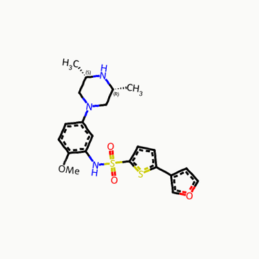 COc1ccc(N2C[C@@H](C)N[C@@H](C)C2)cc1NS(=O)(=O)c1ccc(-c2ccoc2)s1